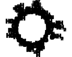 CCCC[C@H]1C(=O)N(C)[C@@H](CCCC)C(=O)N[C@@H](CCCNC(=N)N)C(=O)NC(C(=O)NCC(N)=O)CSCC(=O)N[C@@H](Cc2ccc(O)cc2)C(=O)N(C)[C@@H](C)C(=O)N[C@@H](CC(N)=O)C(=O)N2CCC[C@H]2C(=O)N[C@@H](CCO)C(=O)N[C@@H](CC(C)C)C(=O)N2C[C@H](O)C[C@H]2C(=O)N[C@@H](Cc2c[nH]c3ccccc23)C(=O)N[C@@H](CO)C(=O)N[C@@H](Cc2csc3ccccc23)C(=O)N1C